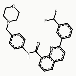 O=C(Nc1ccc(CN2CCOCC2)cc1)c1cccc2ccc(-c3cccc(C(F)F)c3)nc12